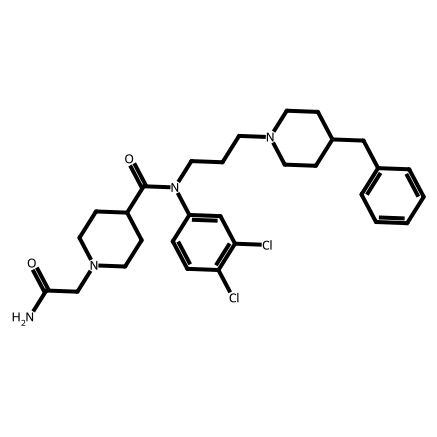 NC(=O)CN1CCC(C(=O)N(CCCN2CCC(Cc3ccccc3)CC2)c2ccc(Cl)c(Cl)c2)CC1